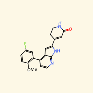 COc1ccc(F)cc1-c1ccnc2[nH]c(C3=CC(=O)NCC3)cc12